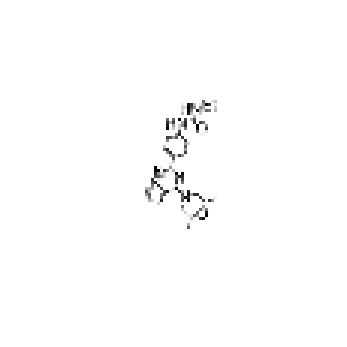 CCNC(=O)Nc1ccc(-c2nc(N3CC(C)OC(C)C3)c3cccn3n2)cc1